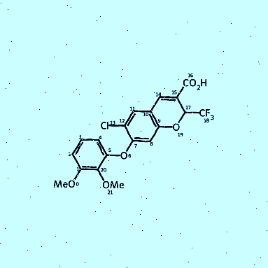 COc1cccc(Oc2cc3c(cc2Cl)C=C(C(=O)O)C(C(F)(F)F)O3)c1OC